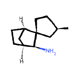 C[C@@H]1CC[C@]2(C1)[C@@H]1CC[C@@H](C1)[C@@H]2N